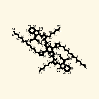 CCCCCCCCCCCCc1ccc(-c2c3cc(-c4sc(C5C(=O)c6ccccc6C5=C(C#N)C#N)cc4CCCCCC)sc3c(-c3ccc(CCCCCCCCCCCC)s3)c3cc(-c4sc(C5C(=O)c6ccccc6C5=C(C#N)C#N)cc4CCCCCC)sc23)s1